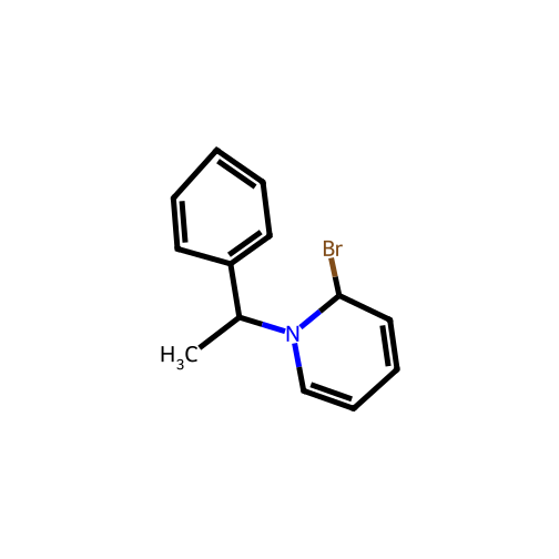 CC(c1ccccc1)N1C=CC=CC1Br